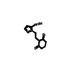 CC(=O)Nc1ccnn1CCN1C(=O)CCCC1=O